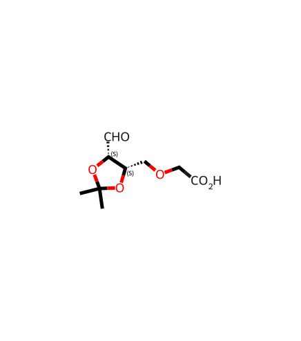 CC1(C)O[C@@H](COCC(=O)O)[C@@H](C=O)O1